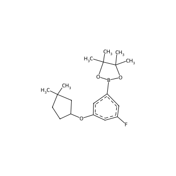 CC1(C)CCC(Oc2cc(F)cc(B3OC(C)(C)C(C)(C)O3)c2)C1